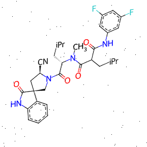 CC(C)CC(C(=O)Nc1cc(F)cc(F)c1)C(=O)N(C)[C@@H](CC(C)C)C(=O)N1C[C@]2(C[C@H]1C#N)C(=O)Nc1ccccc12